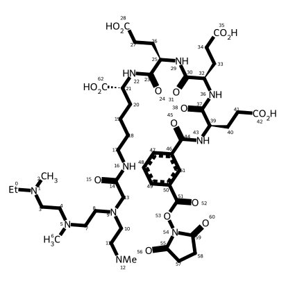 CCN(C)CCN(C)CCN(CCNC)CC(=O)NCCCC[C@@H](NC(=O)[C@@H](CCC(=O)O)NC(=O)[C@@H](CCC(=O)O)NC(=O)[C@@H](CCC(=O)O)NC(=O)c1cccc(C(=O)ON2C(=O)CCC2=O)c1)C(=O)O